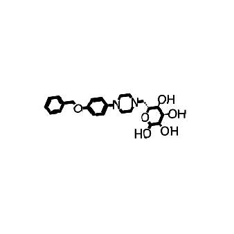 OC1O[C@H](CN2CCN(c3ccc(OCc4ccccc4)cc3)CC2)[C@H](O)[C@H](O)[C@H]1O